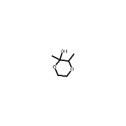 CC1OCCOC1(C)O